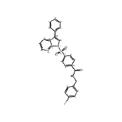 O=C(NCc1ccc(F)cc1)c1ccc(S(=O)(=O)n2cc(-c3ccccc3)c3cccnc32)cc1